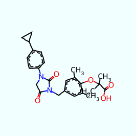 Cc1cc(CN2C(=O)CN(c3ccc(C4CC4)cc3)C2=O)cc(C)c1OC(C)(C)C(=O)O